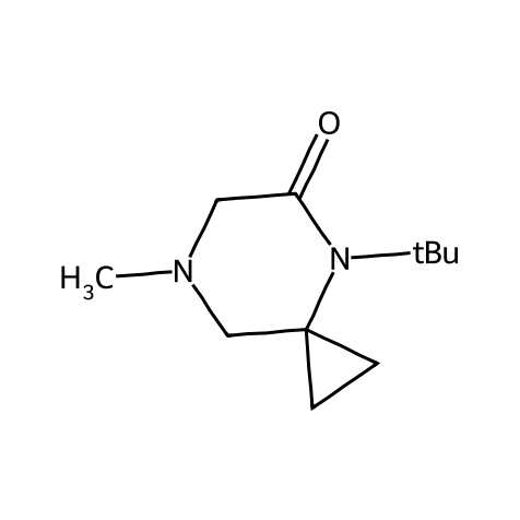 CN1CC(=O)N(C(C)(C)C)C2(CC2)C1